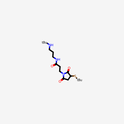 CC(C)(C)NCCCNC(=O)CCN1C(=O)CC(SC(C)(C)C)C1=O